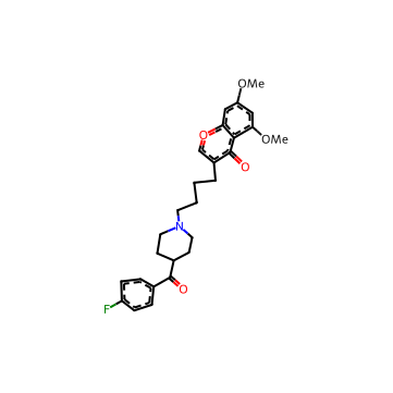 COc1cc(OC)c2c(=O)c(CCCCN3CCC(C(=O)c4ccc(F)cc4)CC3)coc2c1